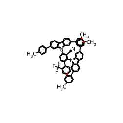 Cc1ccc(-c2ccc3c4ccc(-c5ccc(C)cc5)cc4n(-c4ccc(-c5ccccc5C(F)(F)F)c(-n5c6cc(-c7ccc(C)cc7)ccc6c6ccc(-c7ccc(C)cc7)cc65)c4C#N)c3c2)cc1